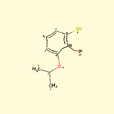 CC(C)Oc1cccc(S)c1Br